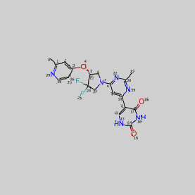 Cc1cc(O[C@H]2CN(c3cc(-c4c[nH]c(=O)[nH]c4=O)nc(C)n3)CC2(F)F)ccn1